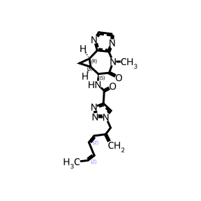 C=C(/C=C\C=C/C)Cn1cc(C(=O)N[C@@H]2C(=O)N(C)c3nccnc3[C@@H]3C[C@H]23)nn1